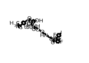 Cc1ncsc1-c1ccc(CNC(=O)[C@@H]2C[C@@H](O)CN2C(=O)[C@@H](NC(=O)COCCOCCNCCCONC(=O)c2ccc(F)c(F)c2Nc2ccc(I)cc2F)C(C)(C)C)cc1